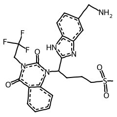 CS(=O)(=O)CCCC(c1nc2cc(CN)ccc2[nH]1)n1c(=O)n(CC(F)(F)F)c(=O)c2ccccc21